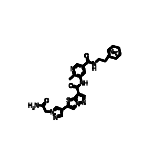 Cc1ncc(C(=O)NCCN2CC3CCC2CC3)cc1NC(=O)c1cnn2cc(-c3cnn(CC(N)=O)c3)sc12